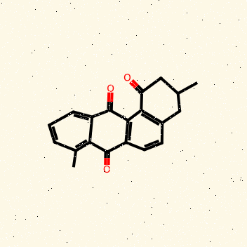 Cc1cccc2c1C(=O)c1ccc3c(c1C2=O)C(=O)CC(C)C3